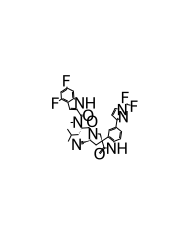 CC(C)C[C@@H](C(=O)N1C[C@]2(C[C@H]1C#N)C(=O)Nc1ccc(-c3ccn(C(F)F)n3)cc12)N(C)C(=O)c1cc2c(F)cc(F)cc2[nH]1